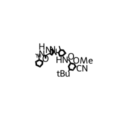 COc1c(C#N)cc(C(C)(C)C)cc1C(=O)Nc1ccc(C)c(-n2cc(C(=O)N[C@H](C)c3ccccc3)nn2)c1